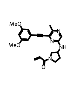 C=CC(=O)N1CCC(Nc2cnc(C)c(C#Cc3cc(OC)cc(OC)c3)n2)C1